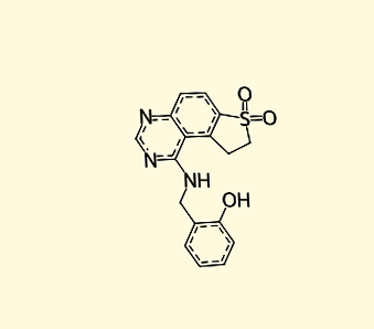 O=S1(=O)CCc2c1ccc1ncnc(NCc3ccccc3O)c21